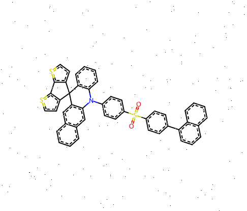 O=S(=O)(c1ccc(-c2cccc3ccccc23)cc1)c1ccc(N2c3ccccc3C3(c4cc5ccccc5cc42)c2ccsc2-c2sccc23)cc1